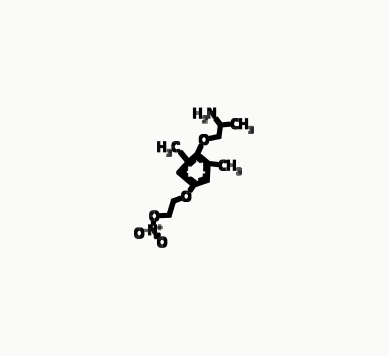 Cc1cc(OCCO[N+](=O)[O-])cc(C)c1OCC(C)N